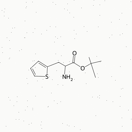 CC(C)(C)OC(=O)C(N)Cc1cccs1